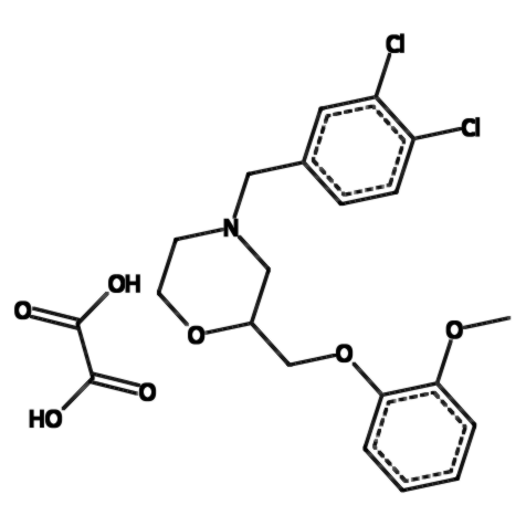 COc1ccccc1OCC1CN(Cc2ccc(Cl)c(Cl)c2)CCO1.O=C(O)C(=O)O